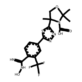 CC1(C)OCC(C)(c2nnc(-c3ccc(C(=N)NO)c(C(F)(F)F)c3)s2)N1C(=O)O